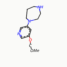 COCOc1cncc(N2CCCNCC2)c1